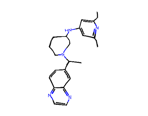 Cc1cc(NC2CCCN(C(C)c3ccc4nccnc4c3)C2)cc(C)n1